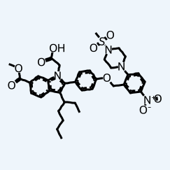 CCCCC(CC)c1c(-c2ccc(OCc3cc([N+](=O)[O-])ccc3N3CCN(S(C)(=O)=O)CC3)cc2)n(CC(=O)O)c2cc(C(=O)OC)ccc12